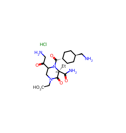 CC[C@]1(C(N)=O)C(=O)N(CC(=O)O)CC(C(=O)CN)N1C(=O)[C@H]1CC[C@H](CN)CC1.Cl